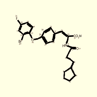 O=C(CCC1CCCC1)NC(=Cc1ccc(Oc2ccc(F)cc2Br)cc1)C(=O)O